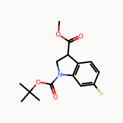 COC(=O)C1CN(C(=O)OC(C)(C)C)c2cc(F)ccc21